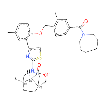 Cc1ccc(OCc2ccc(C(=O)N3CCCCCC3)cc2C)c(-c2csc(N3C[C@H]4CC[C@@H](C3)[C@H]4C(=O)O)n2)c1